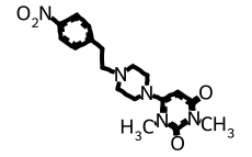 Cn1c(N2CCN(CCc3ccc([N+](=O)[O-])cc3)CC2)cc(=O)n(C)c1=O